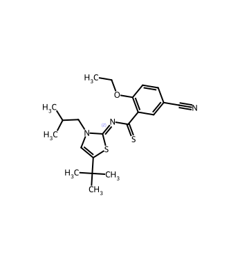 CCOc1ccc(C#N)cc1C(=S)/N=c1\sc(C(C)(C)C)cn1CC(C)C